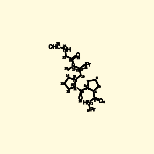 CC(C)NC(=O)C1CCCN1C(=O)[C@@H]1CCCN1C[C@H](C(C)C)N(C)C(=O)CNC=O